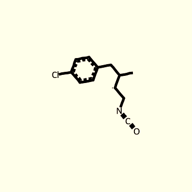 CC([CH]CN=C=O)Cc1ccc(Cl)cc1